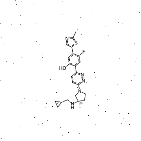 Cc1ncc(-c2cc(O)c(-c3ccc(N4CC[C@@](C)(NCC5CC5)C4)nn3)cc2F)s1